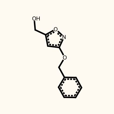 OCc1cc(OCc2ccccc2)no1